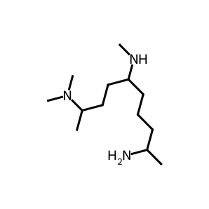 CNC(CCCC(C)N)CCC(C)N(C)C